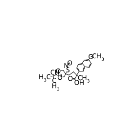 COc1ccc2cc(C(C)(CCC3(SN=O)COC(C(C)(C)C)OC3)C(=O)O)ccc2c1